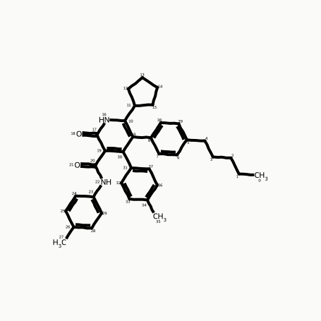 CCCCCc1ccc(-c2c(C3CCCC3)[nH]c(=O)c(C(=O)Nc3ccc(C)cc3)c2-c2ccc(C)cc2)cc1